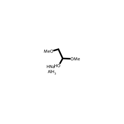 COCC(O)OC.[AlH3].[NaH]